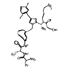 CC(C)C(N)C(=O)N[C@@H](C)C(=O)Nc1cccc(Cn2cc(-c3cc(F)ccc3F)nc2[C@H](N(CCCN)C(=O)CO)C(C)(C)C)c1